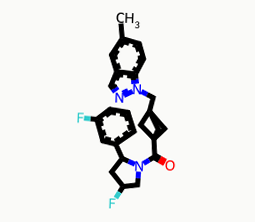 Cc1ccc2c(cnn2CC23CC(C(=O)N4CC(F)CC4c4cccc(F)c4)(C2)C3)c1